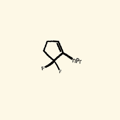 CCCC1=CCCC1(F)F